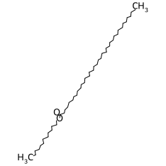 CCCCCCCCCCCCCCCCCCCCCCCCCCCCCCCCCCCCC(=O)OCCCCCCCCCCCCC